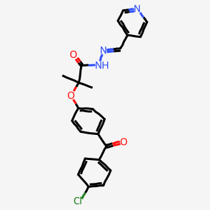 CC(C)(Oc1ccc(C(=O)c2ccc(Cl)cc2)cc1)C(=O)N/N=C/c1ccncc1